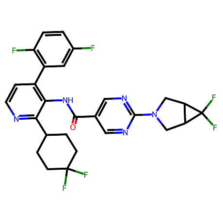 O=C(Nc1c(-c2cc(F)ccc2F)ccnc1C1CCC(F)(F)CC1)c1cnc(N2CC3C(C2)C3(F)F)nc1